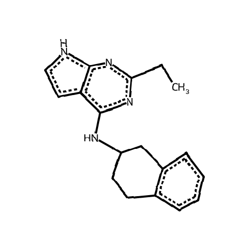 CCc1nc(NC2CCc3ccccc3C2)c2cc[nH]c2n1